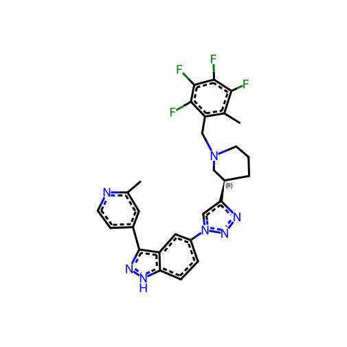 Cc1cc(-c2n[nH]c3ccc(-n4cc([C@@H]5CCCN(Cc6c(C)c(F)c(F)c(F)c6F)C5)nn4)cc23)ccn1